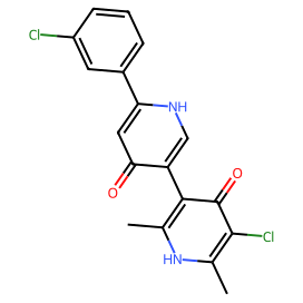 Cc1[nH]c(C)c(-c2c[nH]c(-c3cccc(Cl)c3)cc2=O)c(=O)c1Cl